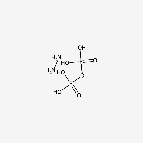 NN.O=P(O)(O)OP(=O)(O)O